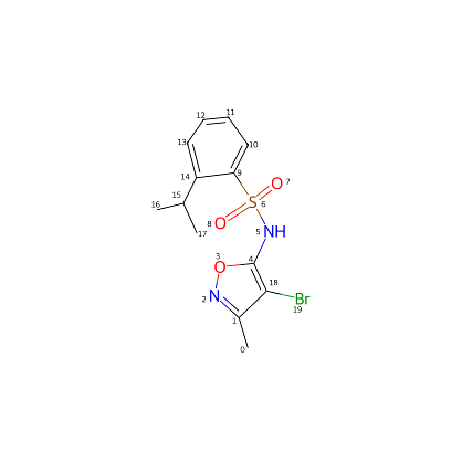 Cc1noc(NS(=O)(=O)c2ccccc2C(C)C)c1Br